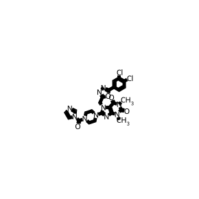 Cn1c(=O)c2c(nc(N3CCN(C(=O)n4ccnc4)CC3)n2Cc2nnc(-c3ccc(Cl)c(Cl)c3)o2)n(C)c1=O